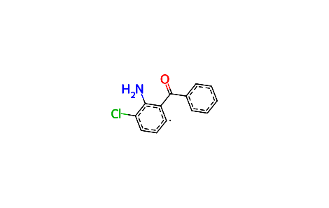 Nc1c(C(=O)c2ccccc2)[c]ccc1Cl